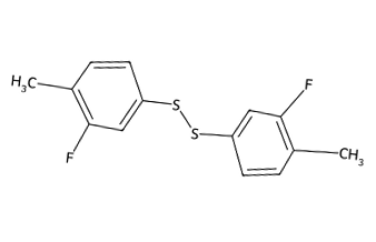 Cc1ccc(SSc2ccc(C)c(F)c2)cc1F